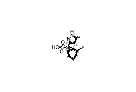 Fc1ccccc1.O=S(=O)(O)Nc1cc[nH]n1